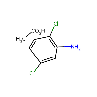 CC(=O)O.Nc1cc(Cl)ccc1Cl